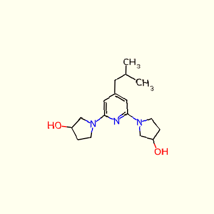 CC(C)Cc1cc(N2CCC(O)C2)nc(N2CCC(O)C2)c1